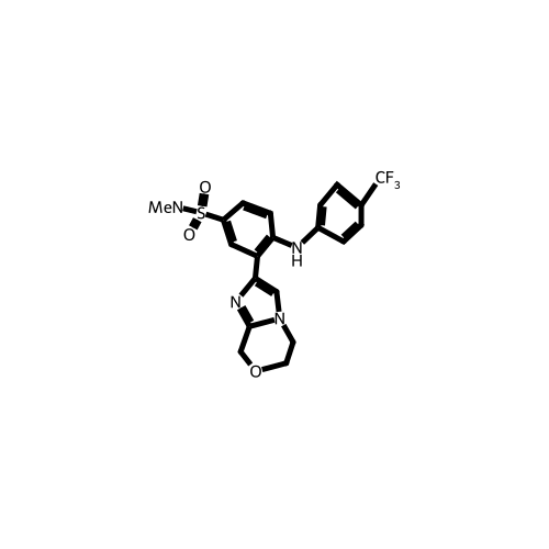 CNS(=O)(=O)c1ccc(Nc2ccc(C(F)(F)F)cc2)c(-c2cn3c(n2)COCC3)c1